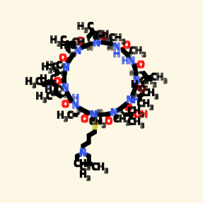 C/C=C/C[C@@H](C)C[C@H]1C(=O)N[C@@H](CC)C(=O)N(C)[C@H](CSCCCCN(CC)CC(C)C)C(=O)N(C)[C@@H](CC(C)(C)O)C(=O)N[C@@H](C(C)C)C(=O)N(C)[C@@H](CC(C)C)C(=O)N[C@@H](C)C(=O)N[C@H](C)C(=O)N(C)[C@@H](CC(C)C)C(=O)N(C)[C@@H](CC(C)C)C(=O)N(C)[C@@H](C(C)C)C(=O)N1C